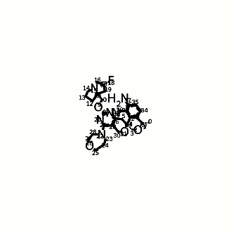 C[C@@H]1OC[C@]2(Cc3nc(OC[C@@]45CCCN4C[C@H](F)C5)nc(N4CCCOCC4)c3CO2)c2c1ccc(N)c2C#N